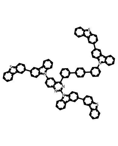 c1cc(-c2ccc(-c3cccc(-n4c5ccccc5c5cc(-c6ccc7sc8ccccc8c7c6)ccc54)c3)cc2)cc(-c2nc(-n3c4ccccc4c4cc(-c5ccc6sc7ccccc7c6c5)ccc43)nc3ccc(-n4c5ccccc5c5cc(-c6ccc7sc8ccccc8c7c6)ccc54)cc23)c1